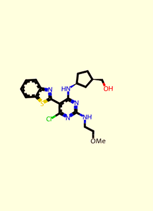 COCCNc1nc(Cl)c(-c2nc3ccccc3s2)c(N[C@H]2CC[C@@H](CO)C2)n1